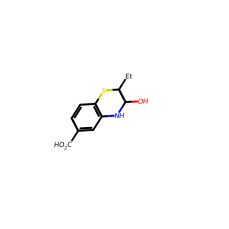 CCC1Sc2ccc(C(=O)O)cc2NC1O